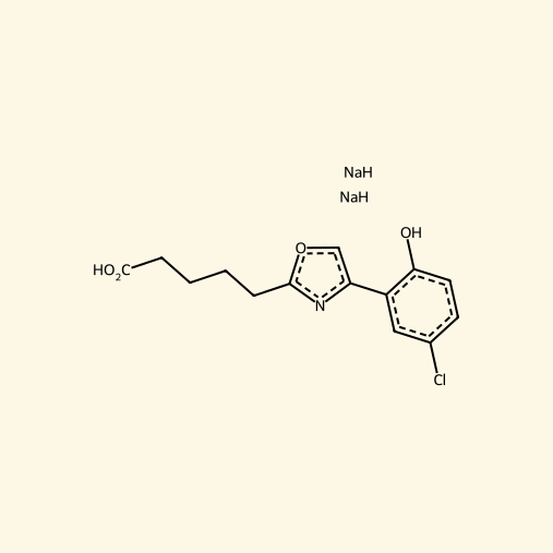 O=C(O)CCCCc1nc(-c2cc(Cl)ccc2O)co1.[NaH].[NaH]